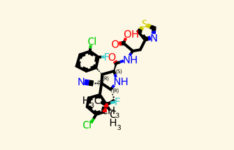 CC(C)(C)C[C@H]1N[C@H](C(=O)NC(Cc2cscn2)C(=O)O)[C@@H](c2cccc(Cl)c2F)[C@]1(C#N)c1ccc(Cl)cc1F